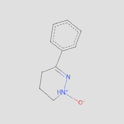 [O-][NH+]1CCCC(c2ccccc2)=N1